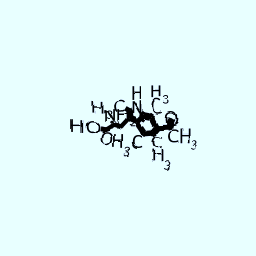 CC(=O)c1c(C)c(C)c2c(C[C@H](N)C(=O)O)c(C)[nH]c2c1C